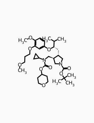 COCCCOc1cc(O[C@@H](C[C@@H]2CN(C(=O)OC(C)(C)C)C[C@H]2CN(C(=O)OC2CCOCC2)C2CC2)C(C)C)ccc1OC